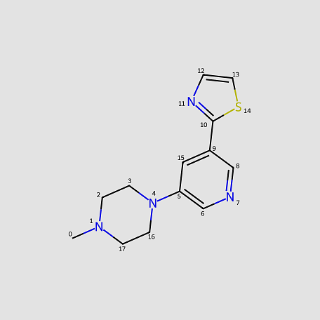 CN1CCN(c2cncc(-c3nccs3)c2)CC1